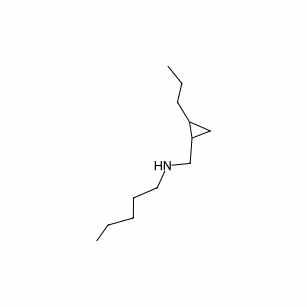 CCCCCNCC1CC1CCC